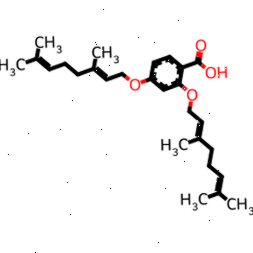 CC(C)=CCC/C(C)=C/COc1ccc(C(=O)O)c(OC/C=C(\C)CCC=C(C)C)c1